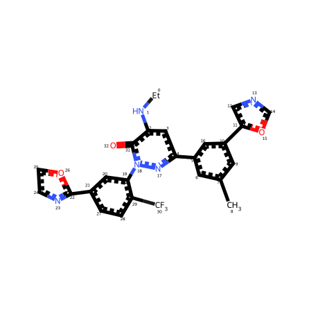 CCNc1cc(-c2cc(C)cc(-c3cnco3)c2)nn(-c2cc(-c3ncco3)ccc2C(F)(F)F)c1=O